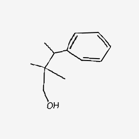 CC(c1ccccc1)C(C)(C)CO